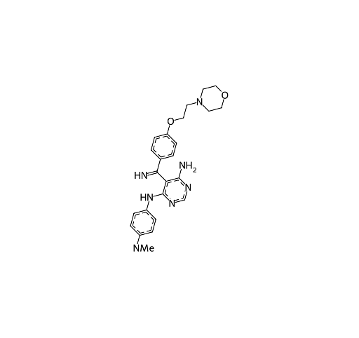 CNc1ccc(Nc2ncnc(N)c2C(=N)c2ccc(OCCN3CCOCC3)cc2)cc1